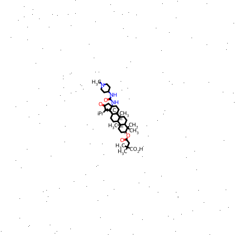 CC(C)C1=C2C3CCC4[C@@]5(C)CC[C@H](OC(=O)CC(C)(C)C(=O)O)C(C)(C)C5CC[C@@]4(C)[C@]3(C)CC[C@@]2(NC(=O)NC2CCN(C)CC2)CC1=O